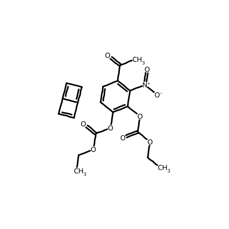 CCOC(=O)Oc1ccc(C(C)=O)c([N+](=O)[O-])c1OC(=O)OCC.c1cc2ccc1-2